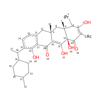 CC(=O)C1=C(O)C(C(C)C)[C@@]2(C)C[C@@]3(C)Cc4ccc(C(C)C5CCC(C)CC5)c(O)c4C(=O)C3=C(O)[C@@]2(O)C1=O